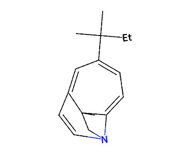 CCC(C)(C)C1=CC=C2N3C=CC(=C1)C2(C)C3